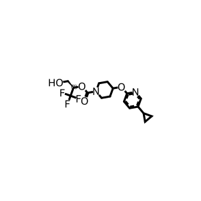 O=C(O[C@H](CO)C(F)(F)F)N1CCC(Oc2ccc(C3CC3)cn2)CC1